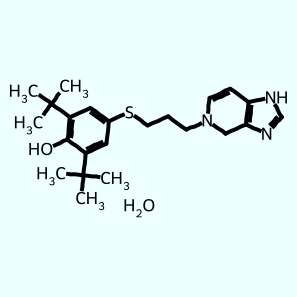 CC(C)(C)c1cc(SCCCN2C=Cc3[nH]cnc3C2)cc(C(C)(C)C)c1O.O